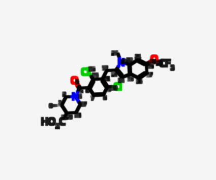 C[C@@H]1CN(C(=O)c2ccc(Cl)c(Cc3cc4ccc(OC(F)(F)F)cc4n3C)c2Cl)CCC1C(=O)O